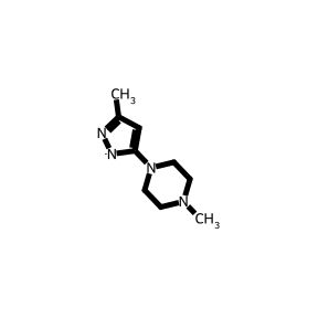 CC1=N[N]C(N2CCN(C)CC2)=C1